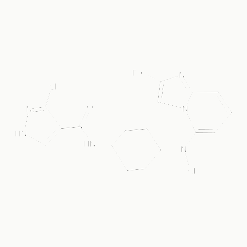 CN(c1cccc2nc(C(F)(F)F)cn12)[C@H]1CC[C@@H](NC(=O)c2c[nH]nc2Cl)CC1